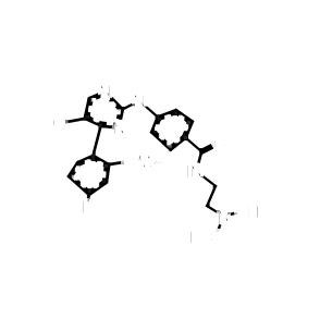 COc1cc(F)ccc1-c1nc(Nc2ccc(C(=O)NCCN(C)C)cc2)ncc1Cl